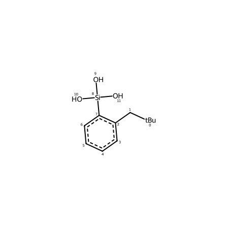 CC(C)(C)Cc1ccccc1[Si](O)(O)O